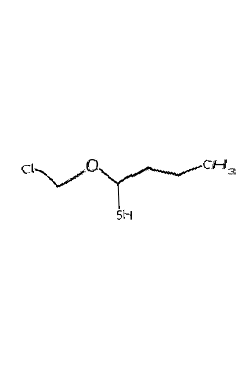 CCCC(S)OCCl